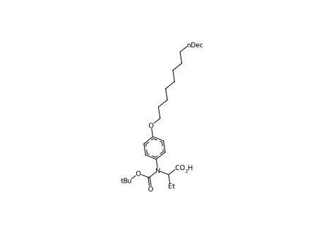 CCCCCCCCCCCCCCCCCCOc1ccc(N(C(=O)OC(C)(C)C)C(CC)C(=O)O)cc1